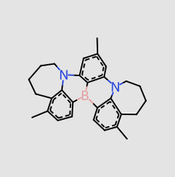 Cc1cc2c3c(c1)N1CCCCc4c(C)ccc(c41)B3c1ccc(C)c3c1N2CCCC3